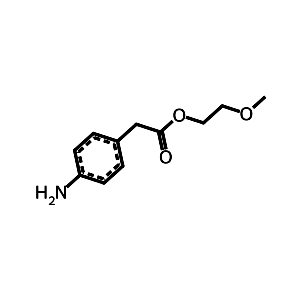 COCCOC(=O)Cc1ccc(N)cc1